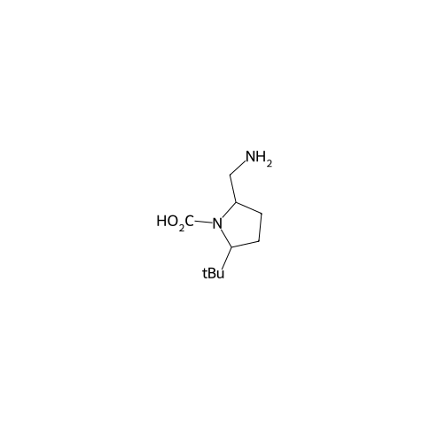 CC(C)(C)C1CCC(CN)N1C(=O)O